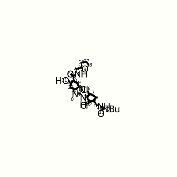 Cn1c(Nc2c(Cl)ccc(CNC(=O)C(C)(C)C)c2Cl)nc2cc(C(=O)NCC3CCCO3)c(O)cc21